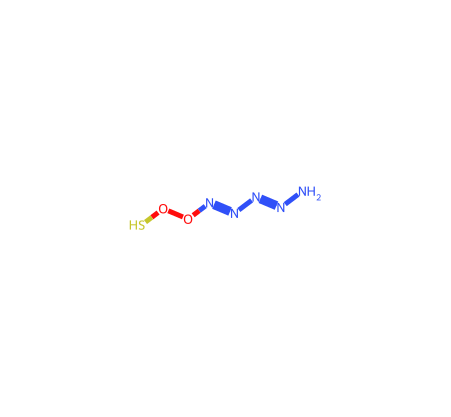 NN=NN=NOOS